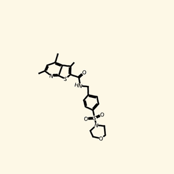 Cc1cc(C)c2c(C)c(C(=O)NCc3ccc(S(=O)(=O)N4CCOCC4)cc3)sc2n1